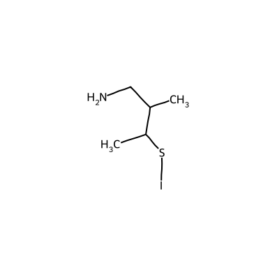 CC(CN)C(C)SI